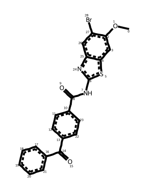 COc1cc2sc(NC(=O)c3ccc(C(=O)c4ccccc4)cc3)nc2cc1Br